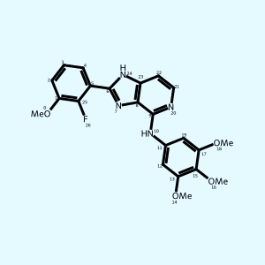 COc1cccc(-c2nc3c(Nc4cc(OC)c(OC)c(OC)c4)nccc3[nH]2)c1F